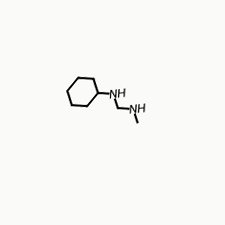 CNCNC1CCCCC1